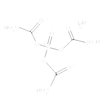 O=C(O)C(=O)OP(=O)(OC(=O)C(=O)O)OC(=O)C(=O)O.[LiH]